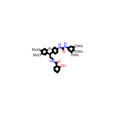 COc1cc(C(C)=O)c(C(CCNC(=O)c2ccccc2O)c2ccc(NC(=O)Nc3cc(OC)c(OC)c(OC)c3)cc2)cc1OC